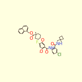 COc1cc(F)c(O[C@H]2CC[C@@](C)(C(=O)OCc3cccc4ccccc34)CC2)cc1C(=O)Nc1ccc(Cl)cc1C(=O)NCC1(C)CCC1